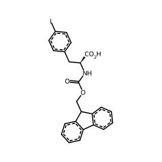 O=C(N[C@@H](Cc1ccc(I)cc1)C(=O)O)OCC1c2ccccc2-c2ccccc21